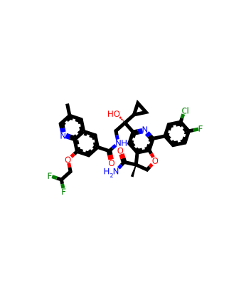 Cc1cnc2c(OCC(F)F)cc(C(=O)NC[C@](O)(c3cc4c(c(-c5ccc(F)c(Cl)c5)n3)OC[C@]4(C)C(N)=O)C3CC3)cc2c1